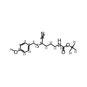 COc1ccc(CSC(C#N)CCCNC(=O)OC(C)(C)C)cc1